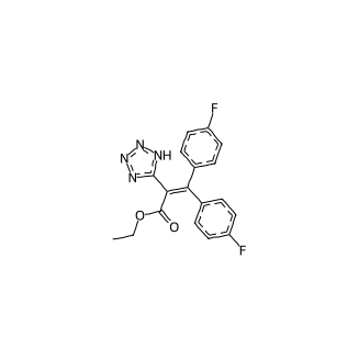 CCOC(=O)C(=C(c1ccc(F)cc1)c1ccc(F)cc1)c1nnn[nH]1